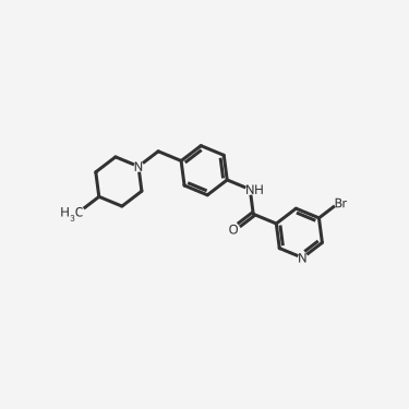 CC1CCN(Cc2ccc(NC(=O)c3cncc(Br)c3)cc2)CC1